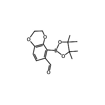 CC1(C)OB(c2c(C=O)ccc3c2OCCO3)OC1(C)C